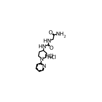 Cl.Cl.NC(=O)CNC(=O)NC1CCN(c2ccccn2)CC1